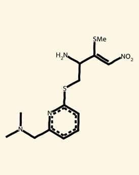 CSC(=C[N+](=O)[O-])C(N)CSc1cccc(CN(C)C)n1